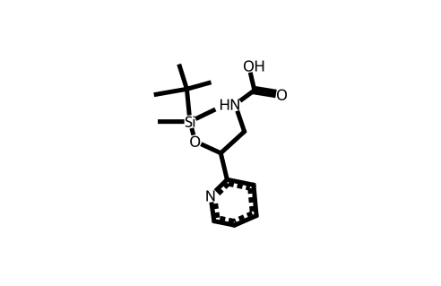 CC(C)(C)[Si](C)(C)OC(CNC(=O)O)c1ccccn1